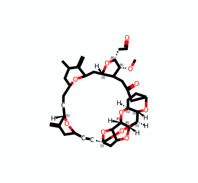 C=C1C(C)CC2CC[C@@H]3OC(CC[C@@]45CC6O[C@H]7[C@@H](O4)[C@H]4OC(CC[C@@H]4O[C@H]7C6O5)CC(=O)CC4[C@H](CC1O2)O[C@H](CC=O)[C@@H]4OC)CC3=C